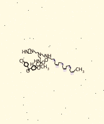 CC/C=C\C/C=C\C/C=C\C/C=C\C/C=C\C/C=C\CCC(=O)NCCN(CCCN1CCNCC1)CCNC(=O)C(C)(C)Oc1ccc(C(=O)c2ccc(Cl)cc2)cc1